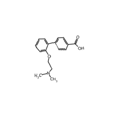 CN(C)CCOc1ccccc1-c1ccc(C(=O)O)cc1